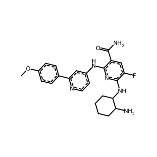 COc1ccc(-c2cc(Nc3nc(NC4CCCCC4N)c(F)cc3C(N)=O)ccn2)cc1